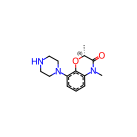 C[C@H]1Oc2c(N3CCNCC3)cccc2N(C)C1=O